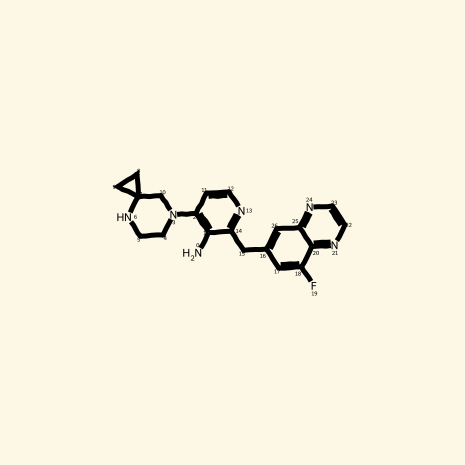 Nc1c(N2CCNC3(CC3)C2)ccnc1Cc1cc(F)c2nccnc2c1